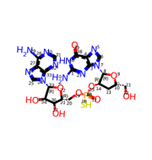 Nc1nc2c(ncn2[C@@H]2O[C@H](CO)C[C@H]2O[P@](=O)(S)OC[C@H]2O[C@@H](n3cnc4c(N)ncnc43)C(O)C2O)c(=O)[nH]1